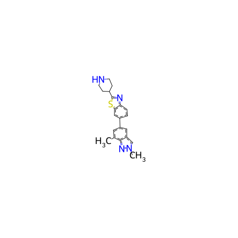 Cc1cc(-c2ccc3nc(C4CCNCC4)sc3c2)cc2cn(C)nc12